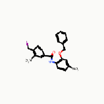 O=C(Nc1ccc([N+](=O)[O-])cc1OCc1ccccc1)c1ccc(CI)c([N+](=O)[O-])c1